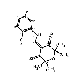 CC1(C)OC(C)(C)C(=O)C(=CNc2cnccc2Cl)C1=O